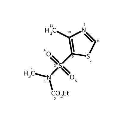 CCOC(=O)N(C)S(=O)(=O)c1s[c]nc1C